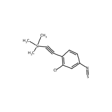 C[Si](C)(C)C#Cc1ccc(N=S)cc1Cl